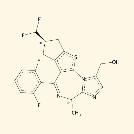 C[C@@H]1N=C(c2c(F)cccc2F)c2c(sc3c2C[C@@H](C(F)F)C3)-n2c(CO)cnc21